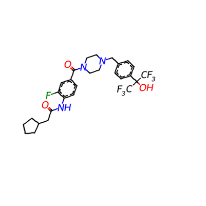 O=C(CC1CCCC1)Nc1ccc(C(=O)N2CCN(Cc3ccc(C(O)(C(F)(F)F)C(F)(F)F)cc3)CC2)cc1F